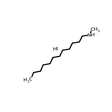 CCCCCCCCCCCCNC.I